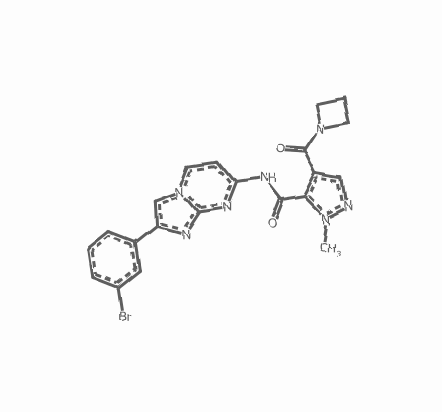 Cn1ncc(C(=O)N2CCC2)c1C(=O)Nc1ccn2cc(-c3cccc(Br)c3)nc2n1